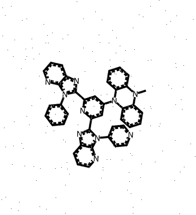 CN1c2ccccc2N(c2cc(-c3nc4cccnc4n3-c3ccccc3)nc(-c3nc4cccnc4n3-c3ccncc3)c2)c2ccccc21